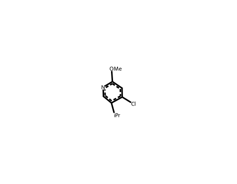 COc1cc(Cl)c(C(C)C)cn1